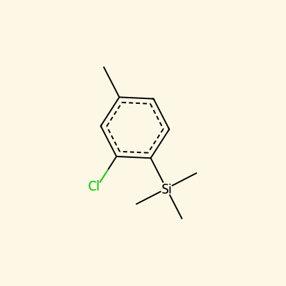 Cc1ccc([Si](C)(C)C)c(Cl)c1